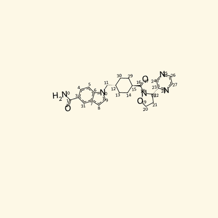 NC(=O)c1ccc2c(ccn2C[C@H]2CC[C@H](C(=O)N3OCC[C@H]3c3cnccn3)CC2)c1